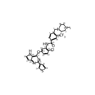 CN1CCN(Cc2ccc(C(=O)Nc3cc(Oc4nc(-c5ccsc5)nc5cc[nH]c45)ccc3Cl)cc2C(F)(F)F)CC1